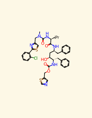 CC(C)[C@H](NC(=O)N(C)Cc1csc(-c2ccccc2Cl)n1)C(=O)N[C@@H](Cc1ccccc1)C[C@H](O)[C@H](Cc1ccccc1)NC(=O)OCc1cncs1